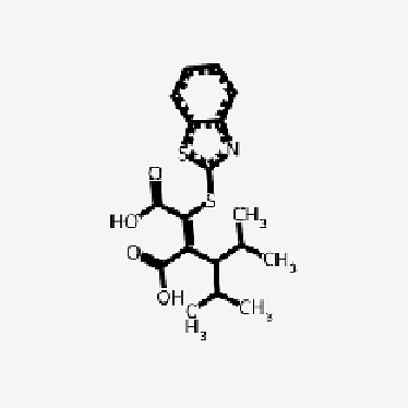 CC(C)C(C(C(=O)O)=C(Sc1nc2ccccc2s1)C(=O)O)C(C)C